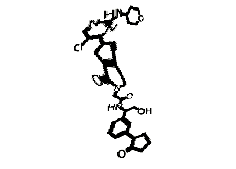 O=C(CN1Cc2ccc(-c3nc(NC4CCOCC4)ncc3Cl)cc2C1=O)NC(CO)c1cccc(C2CCCC2=O)c1